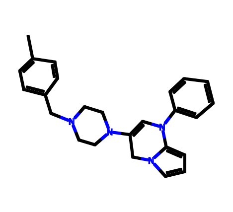 Cc1ccc(CN2CCN(C3=CN(c4ccccc4)c4cccn4C3)CC2)cc1